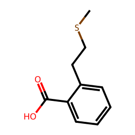 CSCCc1ccccc1C(=O)O